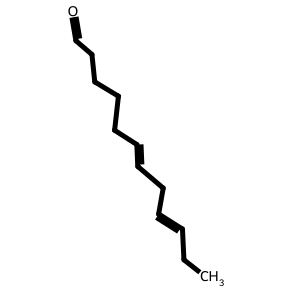 CCC=CCC=CCCCCC=O